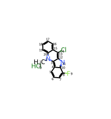 Cl.Cn1c2c3cccc(F)c3nc-2c(Cl)c2ccccc21